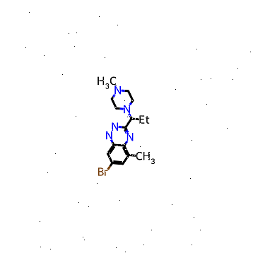 [CH2]CC(c1nnc2cc(Br)cc(C)c2n1)N1CCN(C)CC1